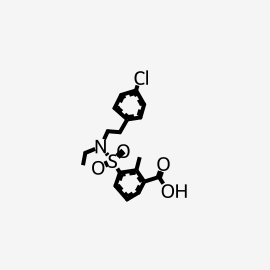 CCN(CCc1ccc(Cl)cc1)S(=O)(=O)c1cccc(C(=O)O)c1C